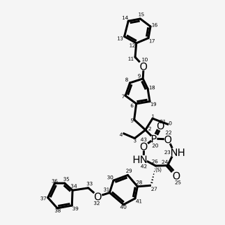 CCC(CC)(Cc1ccc(OCc2ccccc2)cc1)P1(=O)ONC(=O)[C@H](Cc2ccc(OCc3ccccc3)cc2)NO1